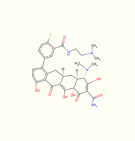 CN(C)CCNC(=O)c1cc(-c2ccc(O)c3c2C[C@H]2C[C@H]4[C@H](N(C)C)C(O)=C(C(N)=O)C(=O)[C@@]4(O)C(O)=C2C3=O)ccc1F